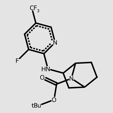 CC(C)(C)OC(=O)N1C2CCC1C(Nc1ncc(C(F)(F)F)cc1F)C2